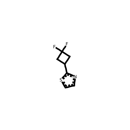 FC1(F)CC(c2nccs2)C1